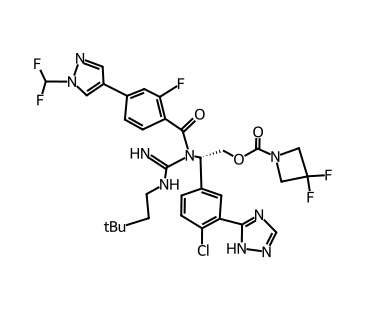 CC(C)(C)CCNC(=N)N(C(=O)c1ccc(-c2cnn(C(F)F)c2)cc1F)[C@H](COC(=O)N1CC(F)(F)C1)c1ccc(Cl)c(-c2ncn[nH]2)c1